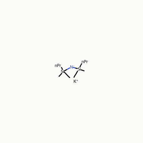 CCC[Si](C)(C)[N-][Si](C)(C)CCC.[K+]